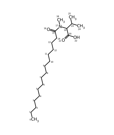 CCCCCCCCCCCCCCCC(=O)N(C)C(C(=O)O)C(C)C